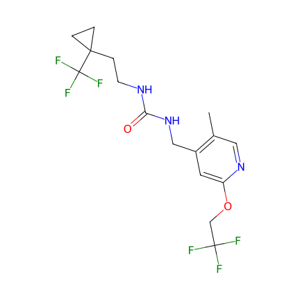 Cc1cnc(OCC(F)(F)F)cc1CNC(=O)NCCC1(C(F)(F)F)CC1